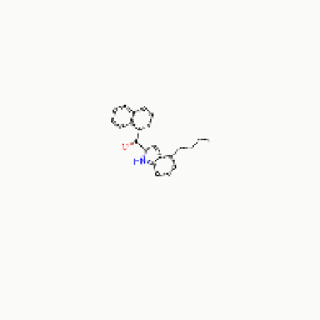 CCCCc1cccc2[nH]c(C(=O)c3cccc4ccccc34)cc12